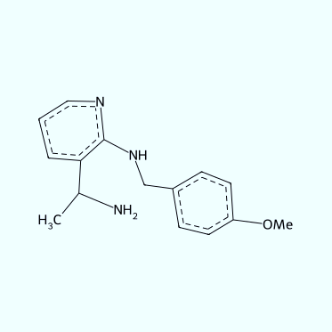 COc1ccc(CNc2ncccc2C(C)N)cc1